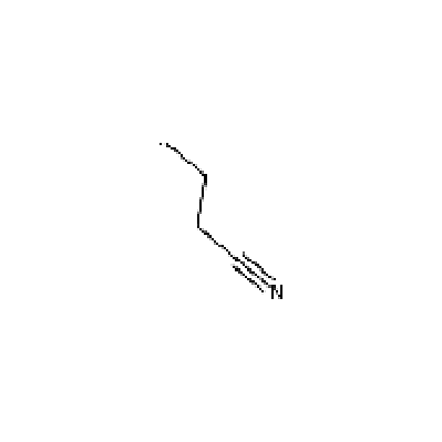 [CH2]CCC#N